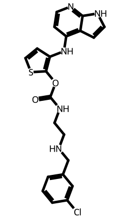 O=C(NCCNCc1cccc(Cl)c1)Oc1sccc1Nc1ccnc2[nH]ccc12